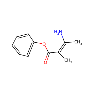 CC(N)=C(C)C(=O)Oc1ccccc1